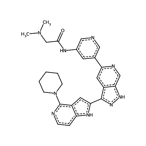 CN(C)CC(=O)Nc1cncc(-c2cc3c(-c4cc5c(N6CCCCC6)nccc5[nH]4)n[nH]c3cn2)c1